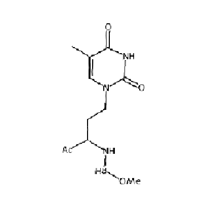 COBNC(CCn1cc(C)c(=O)[nH]c1=O)C(C)=O